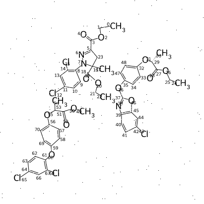 CCOC(=O)C1=NN(c2ccc(Cl)cc2Cl)C(C)(C(=O)OCC)C1.CCOC(=O)[C@@H](C)Oc1ccc(Oc2nc3ccc(Cl)cc3o2)cc1.COC(=O)C(C)Oc1ccc(Oc2ccc(Cl)cc2Cl)cc1